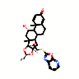 CCC[C@@H]1O[C@@H]2CC3C4CCC5=CC(=O)C=CC5(C)C4[C@@H](O)CC3(C)[C@]2(C(=O)CSc2nc3cccnc3o2)O1